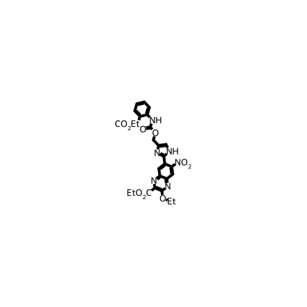 CCOC(=O)c1ccccc1NC(=O)OCc1c[nH]c(-c2cc3nc(C(=O)OCC)c(OCC)nc3cc2[N+](=O)[O-])n1